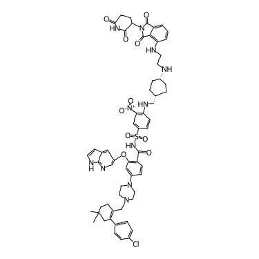 CC1(C)CCC(CN2CCN(c3ccc(C(=O)NS(=O)(=O)c4ccc(NC[C@H]5CC[C@@H](NCCNc6cccc7c6C(=O)N(C6CCC(=O)NC6=O)C7=O)CC5)c([N+](=O)[O-])c4)c(Oc4cnc5[nH]ccc5c4)c3)CC2)=C(c2ccc(Cl)cc2)C1